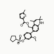 COc1cc(OS(=O)(=O)C2CCCC2)ccc1-c1ccc2c(c1COC(=O)c1ccc(C)s1)C(C)=CC(C)(C)N2